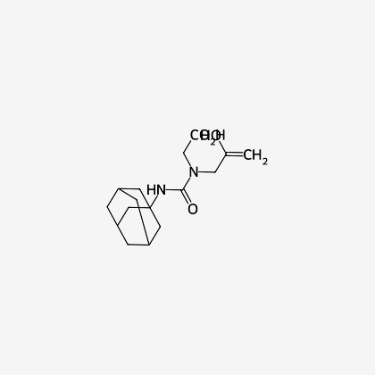 C=C(O)CN(CC(=O)O)C(=O)NC12CC3CC(CC(C3)C1)C2